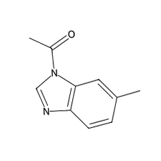 CC(=O)n1cnc2ccc(C)cc21